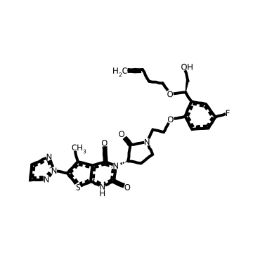 C=CCCO[C@@H](CO)c1cc(F)ccc1OCCN1CC[C@H](n2c(=O)[nH]c3sc(-n4nccn4)c(C)c3c2=O)C1=O